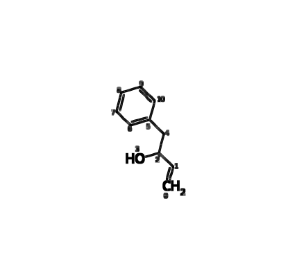 C=C[C](O)Cc1ccccc1